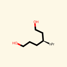 CCC[C@H](CCO)CCCO